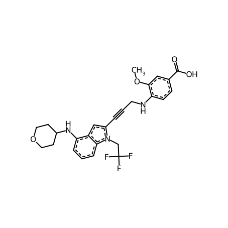 COc1cc(C(=O)O)ccc1NCC#Cc1cc2c(NC3CCOCC3)cccc2n1CC(F)(F)F